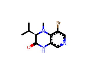 CC(C)[C@@H]1C(=O)Nc2cncc(Br)c2N1C